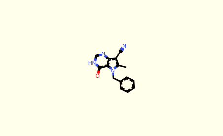 Cc1c(C#N)c2nc[nH]c(=O)c2n1Cc1ccccc1